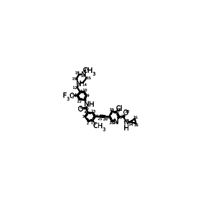 Cc1ccc(C(=O)Nc2ccc(CN3CCN(C)CC3)c(C(F)(F)F)c2)cc1C#Cc1cnc(C(=O)NC2CC2)c(Cl)c1